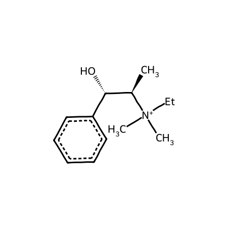 CC[N+](C)(C)[C@H](C)[C@@H](O)c1ccccc1